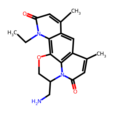 CCn1c(=O)cc(C)c2cc3c(C)cc(=O)n4c3c(c21)OCC4CN